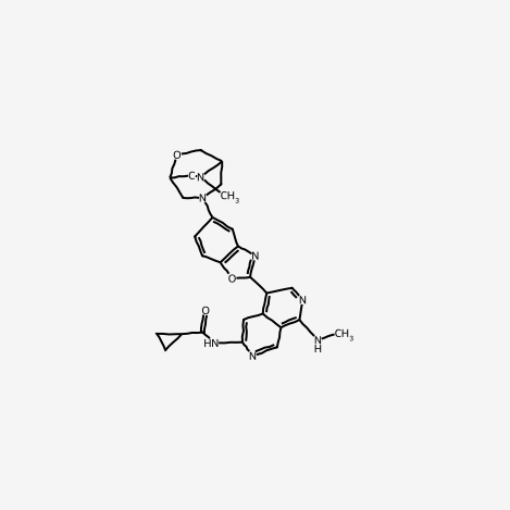 CNc1ncc(-c2nc3cc(N4CC5CN(C)C(CO5)C4)ccc3o2)c2cc(NC(=O)C3CC3)ncc12